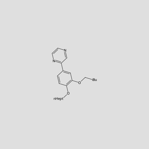 CCCCCCCOc1ccc(-c2cnccn2)cc1OCC(C)CC